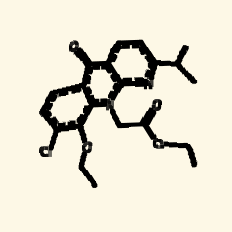 CCOC(=O)Cn1c2nc(C(C)C)ccc2c(=O)c2ccc(Cl)c(OCC)c21